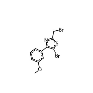 COc1cccc(-c2nc(CBr)sc2Br)c1